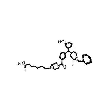 C[C@@H]1CN(C(c2cccc(O)c2)c2cccc(C(=O)N3CCN(CCCCCCC(=O)O)CC3)c2)[C@H](C)CN1Cc1ccccc1